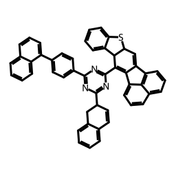 C1=CC(c2nc(C3=C4C(=CC5Sc6ccccc6C35)c3cccc5cccc4c35)nc(-c3ccc(-c4cccc5ccccc45)cc3)n2)Cc2ccccc21